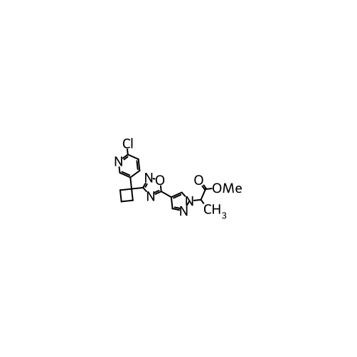 COC(=O)C(C)n1cc(-c2nc(C3(c4ccc(Cl)nc4)CCC3)no2)cn1